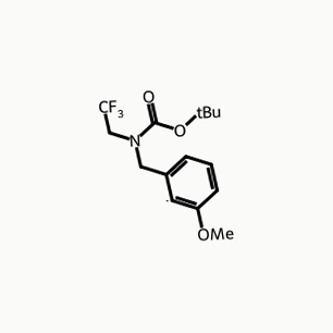 COc1[c]c(CN(CC(F)(F)F)C(=O)OC(C)(C)C)ccc1